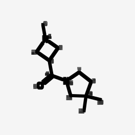 CN1CC(C(=O)N2CCC(C)(C)C2)C1